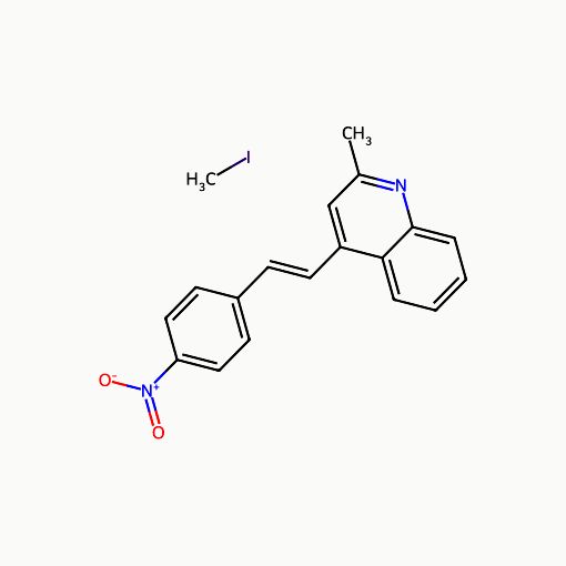 CI.Cc1cc(C=Cc2ccc([N+](=O)[O-])cc2)c2ccccc2n1